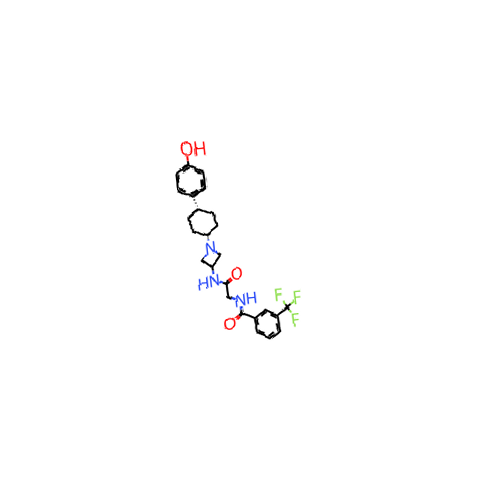 O=C(CNC(=O)c1cccc(C(F)(F)F)c1)NC1CN([C@H]2CC[C@@H](c3ccc(O)cc3)CC2)C1